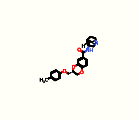 Cc1ccc(OC[C@H]2COc3ccc(C(=O)N[C@H]4CN5CCC4CC5)cc3O2)cc1